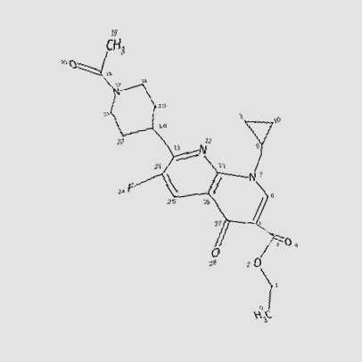 CCOC(=O)c1cn(C2CC2)c2nc(C3CCN(C(C)=O)CC3)c(F)cc2c1=O